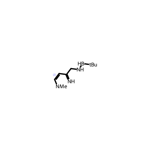 CN/C=C\C(=N)CNBC(C)(C)C